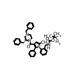 Cc1cc(C(=O)N2CCN(Cc3ccccc3)C[C@H]2Cc2ccccc2)c(-c2ccccc2)n1-c1ccccc1CNC(=O)OC(C)(C)C